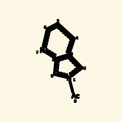 CC(=O)n1cc2cccnc2c1